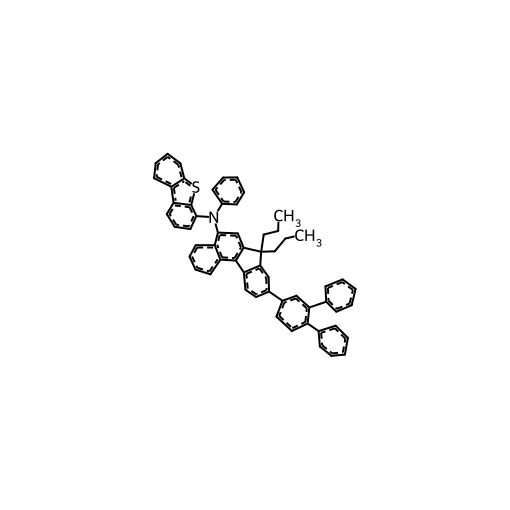 CCCC1(CCC)c2cc(-c3ccc(-c4ccccc4)c(-c4ccccc4)c3)ccc2-c2c1cc(N(c1ccccc1)c1cccc3c1sc1ccccc13)c1ccccc21